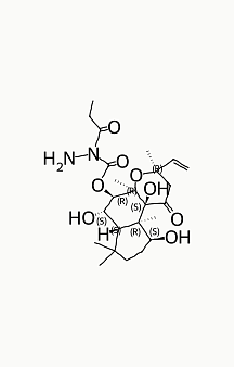 C=C[C@@]1(C)CC(=O)[C@]2(O)[C@@]3(C)[C@@H](O)CCC(C)(C)[C@@H]3[C@H](O)[C@@H](OC(=O)N(N)C(=O)CC)[C@@]2(C)O1